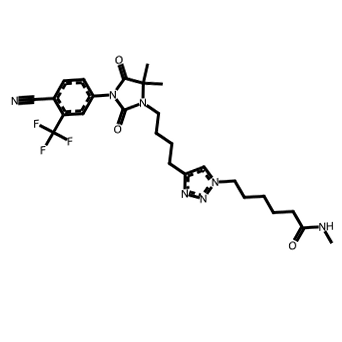 CNC(=O)CCCCCn1cc(CCCCN2C(=O)N(c3ccc(C#N)c(C(F)(F)F)c3)C(=O)C2(C)C)nn1